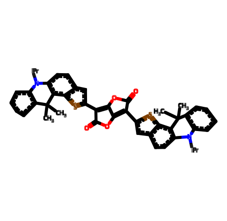 CC(C)N1c2ccccc2C(C)(C)c2c1ccc1cc(C3=C4OC(=O)C(c5cc6ccc7c(c6s5)C(C)(C)c5ccccc5N7C(C)C)=C4OC3=O)sc21